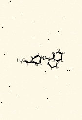 C=Cc1ccc(OC2CCCc3ccccc32)cc1